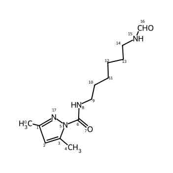 Cc1cc(C)n(C(=O)NCCCCCCNC=O)n1